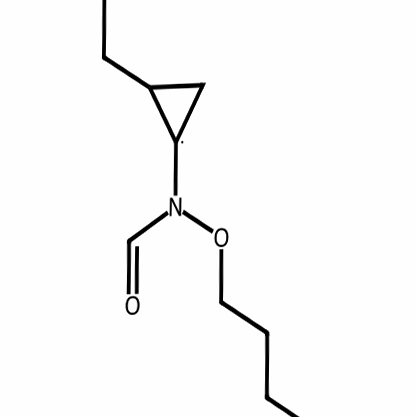 CCCCON(C=O)[C]1CC1CC